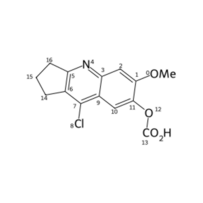 COc1cc2nc3c(c(Cl)c2cc1OC(=O)O)CCC3